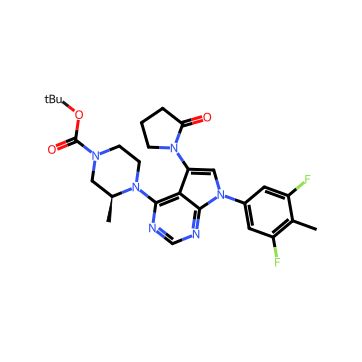 Cc1c(F)cc(-n2cc(N3CCCC3=O)c3c(N4CCN(C(=O)OC(C)(C)C)C[C@@H]4C)ncnc32)cc1F